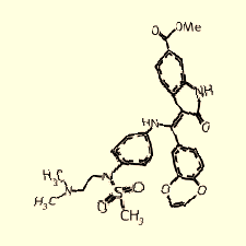 COC(=O)c1ccc2c(c1)NC(=O)C2=C(Nc1ccc(N(CCN(C)C)S(C)(=O)=O)cc1)c1ccc2c(c1)OC=CO2